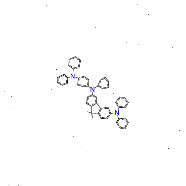 CC1(C)c2ccc(N(c3ccccc3)c3ccccc3)cc2-c2cc(N(c3ccccc3)c3ccc(N(c4ccccc4)c4ccccc4)cc3)ccc21